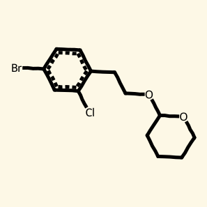 Clc1cc(Br)ccc1CCOC1CCCCO1